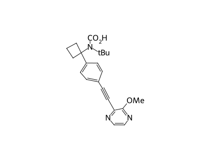 COc1nccnc1C#Cc1ccc(C2(N(C(=O)O)C(C)(C)C)CCC2)cc1